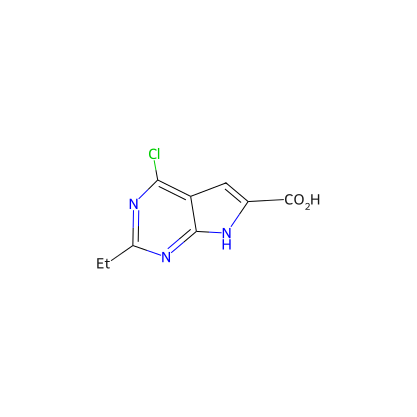 CCc1nc(Cl)c2cc(C(=O)O)[nH]c2n1